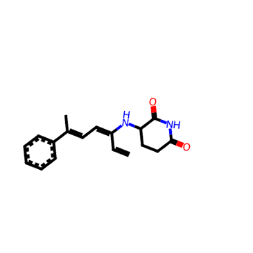 C=C/C(=C\C=C(/C)c1ccccc1)NC1CCC(=O)NC1=O